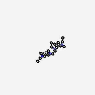 CC1(C)c2c(ccc3c2c2ccccc2n3-c2ccc(-c3ccccc3)cc2)-c2ccc3c(c21)c1ccccc1n3-c1cccc(-c2ccc3c4cc5c(cc4n(-c4cccc(-c6ccccc6)c4)c3c2)C2(c3ccccc3-c3ccccc32)c2cc3c(cc2-5)c2ccccc2n3-c2ccc(-c3ccccc3)cc2)c1